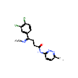 CON=C(CCC(=O)Nc1ccc(C)nn1)c1ccc(Cl)c(Cl)c1